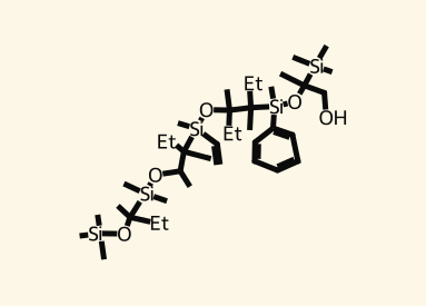 C=C[Si](C)(OC(C)(CC)C(C)(CC)[Si](C)(OC(C)(CO)[Si](C)(C)C)c1ccccc1)C(C)(CC)C(C)O[Si](C)(C)C(C)(CC)O[Si](C)(C)C